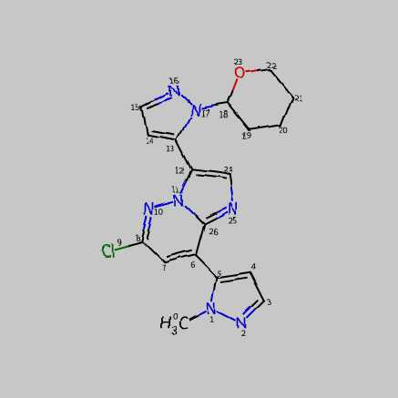 Cn1nccc1-c1cc(Cl)nn2c(-c3ccnn3C3CCCCO3)cnc12